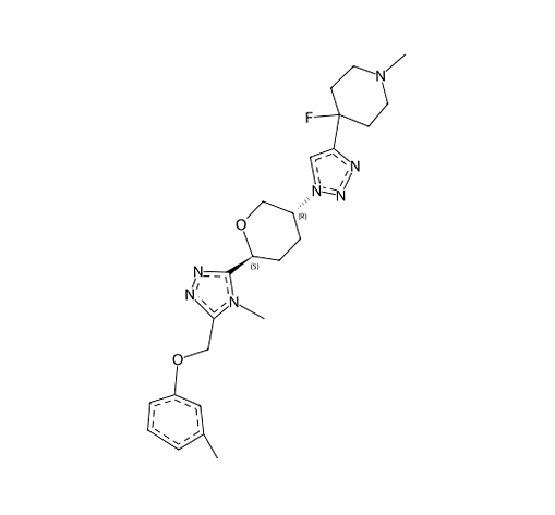 Cc1cccc(OCc2nnc([C@@H]3CC[C@@H](n4cc(C5(F)CCN(C)CC5)nn4)CO3)n2C)c1